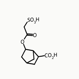 O=C(CS(=O)(=O)O)OC1CC2CC(C(=O)O)C1C2